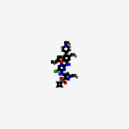 Cc1cc(Nc2ncc(Cl)c(Nc3cn(C)nc3S(=O)(=O)C3CCC3)n2)c(OC(C)C)cc1C1CCN(C)CC1